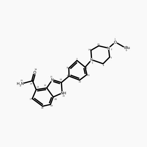 CC(C)(C)ON1CCN(c2ccc(-c3nc4c(C(N)=O)cccc4[nH]3)cc2)CC1